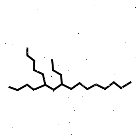 CCCCCCCCC([CH]C(CCCC)CCCCC)CCC